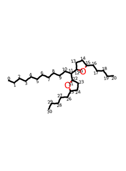 CCCCCCCCCCCC(C1CCC(CCCCC)O1)C1CCC(CCCCC)O1